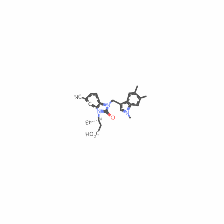 CC[C@@H](CC(=O)O)n1c(=O)n(Cc2cn(C)c3cc(C)c(C)cc23)c2ccc(C#N)cc21